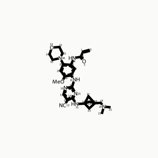 C=CC(=O)Nc1cc(Nc2ncc(C#N)c(NC34CC(CN(C)C)(C3)C4)n2)c(OC)cc1N1CCOCC1